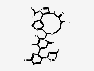 CC1CCCC(n2c(Cl)c(F)c(-c3cc(Cl)ccc3-n3cc(Cl)nn3)cc2=O)c2cc(ccn2)-c2c(cnn2C(F)F)NC1=O